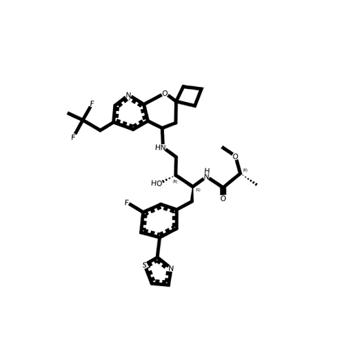 CO[C@H](C)C(=O)N[C@@H](Cc1cc(F)cc(-c2nccs2)c1)[C@H](O)CNC1CC2(CCC2)Oc2ncc(CC(C)(F)F)cc21